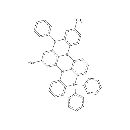 Cc1ccc2c(c1)N(c1ccccc1)c1cc(C(C)(C)C)cc3c1B2c1cccc2c1N3c1ccccc1[Si]2(c1ccccc1)c1ccccc1